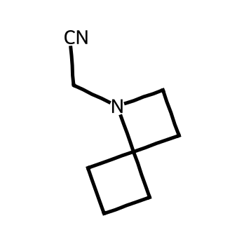 N#CCN1CCC12CCC2